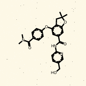 CN(C)C(=O)c1ccc(Oc2cc(C(=O)Nc3ccc(CO)cn3)cc3c2CC(C)(C)O3)cc1